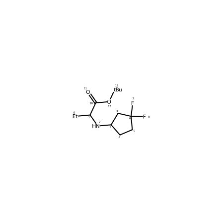 CCC(NC1CCC(F)(F)C1)C(=O)OC(C)(C)C